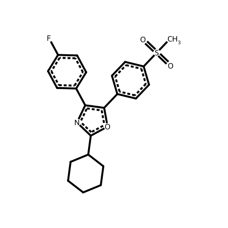 CS(=O)(=O)c1ccc(-c2oc(C3CCCCC3)nc2-c2ccc(F)cc2)cc1